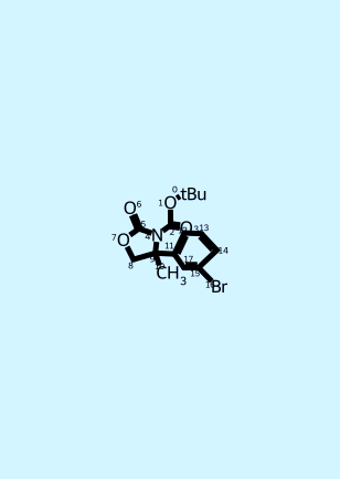 CC(C)(C)OC(=O)N1C(=O)OCC1(C)c1cccc(Br)c1